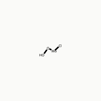 O[O][Mo][Cl]